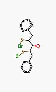 O=C(C(Cc1ccccc1)SBr)C(Cc1ccccc1)SBr